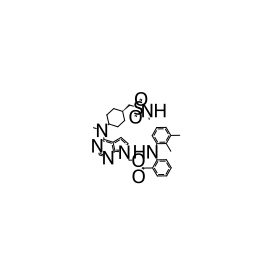 CNS(=O)(=O)C[C@H]1CC[C@H](N(C)c2ncnc3c2ccn3COC(=O)c2ccccc2Nc2cccc(C)c2C)CC1